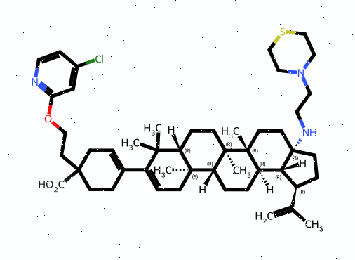 C=C(C)[C@@H]1CC[C@]2(NCCN3CCSCC3)CC[C@]3(C)[C@H](CC[C@@H]4[C@@]5(C)CC=C(C6=CCC(CCOc7cc(Cl)ccn7)(C(=O)O)CC6)C(C)(C)[C@@H]5CC[C@]43C)[C@@H]12